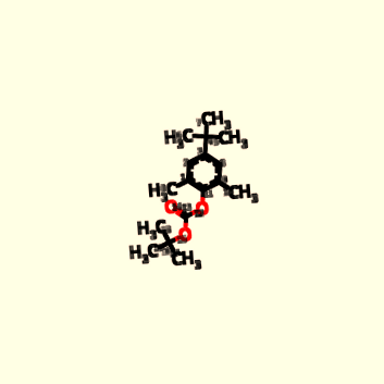 Cc1cc(C(C)(C)C)cc(C)c1OC(=O)OC(C)(C)C